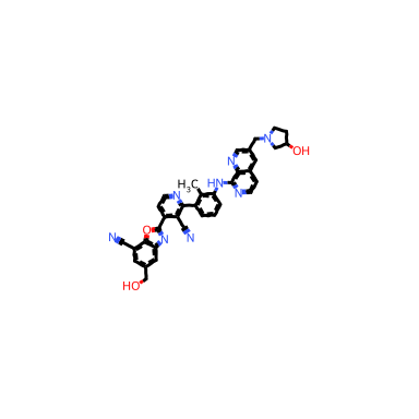 Cc1c(Nc2nccc3cc(CN4CCC(O)C4)cnc23)cccc1-c1nccc(-c2nc3cc(CO)cc(C#N)c3o2)c1C#N